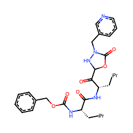 CC(C)C[C@H](NC(=O)OCc1ccccc1)C(=O)N[C@@H](CC(C)C)C(=O)C1NN(Cc2cccnc2)C(=O)O1